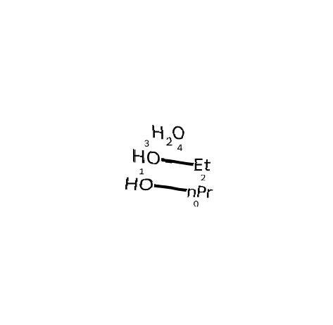 CCCO.CCO.O